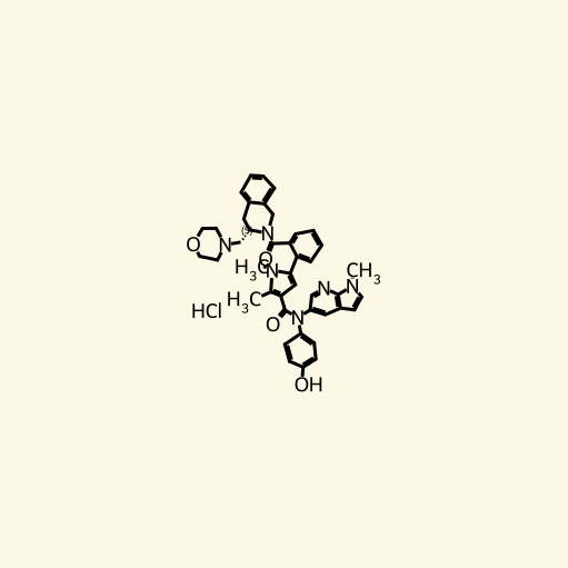 Cc1c(C(=O)N(c2ccc(O)cc2)c2cnc3c(ccn3C)c2)cc(-c2ccccc2C(=O)N2Cc3ccccc3C[C@H]2CN2CCOCC2)n1C.Cl